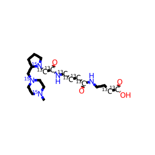 C[15N]1CC[15N](CC2CCC[15N]2[13CH2][13C](=O)N[13CH2][13CH2][13CH2][13C](=O)NCC[13CH2][13C](=O)O)CC1